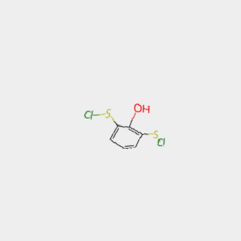 Oc1c(SCl)cccc1SCl